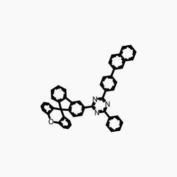 c1ccc(-c2nc(-c3ccc(-c4ccc5ccccc5c4)cc3)nc(-c3ccc4c(c3)-c3ccccc3C43c4ccccc4Oc4ccccc43)n2)cc1